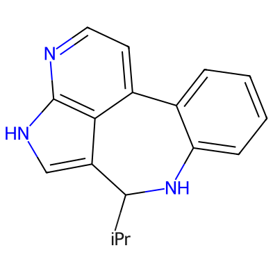 CC(C)C1Nc2ccccc2-c2ccnc3[nH]cc1c23